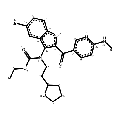 CCOC(=O)N(CCC1CCCO1)c1c(C(=O)c2ccc(NC)nc2)oc2ccc(Br)cc12